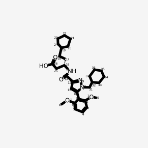 COc1cccc(OC)c1-c1cc(C(=O)N[C@@H](CCC2CCCCC2)CC(=O)O)nn1CC1CCCCC1